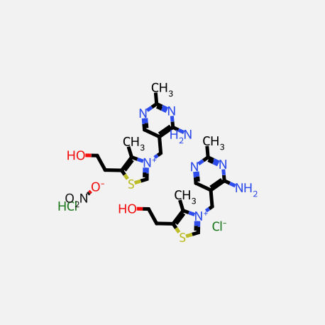 Cc1ncc(C[n+]2csc(CCO)c2C)c(N)n1.Cc1ncc(C[n+]2csc(CCO)c2C)c(N)n1.Cl.O=[N+]([O-])[O-].[Cl-]